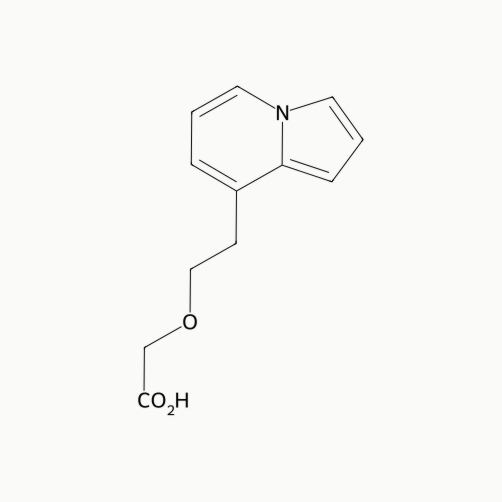 O=C(O)COCCc1cccn2cccc12